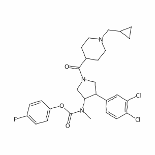 CN(C(=O)Oc1ccc(F)cc1)C1CN(C(=O)C2CCN(CC3CC3)CC2)CC1c1ccc(Cl)c(Cl)c1